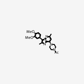 COc1ccc(-c2c(C)nc3c(N4CCN(C(C)=O)CC4)cc(C)nn23)cc1OC